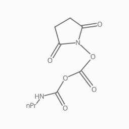 CCCNC(=O)OC(=O)ON1C(=O)CCC1=O